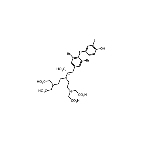 O=C(O)CN(CCN(CCN(CC(=O)O)CC(=O)O)[C@@H](Cc1cc(Br)c(Oc2ccc(O)c(I)c2)c(Br)c1)C(=O)O)CC(=O)O